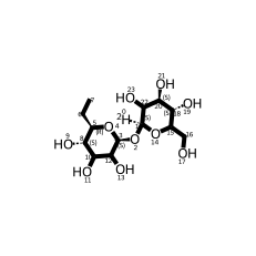 [2H][C@@]1(O[C@@H]2O[C@H](CC)[C@@H](O)C(O)C2O)OC(CO)[C@@H](O)[C@H](O)C1O